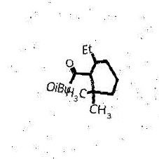 CCC1CCCC(C)(C)C1C(=O)OCC(C)C